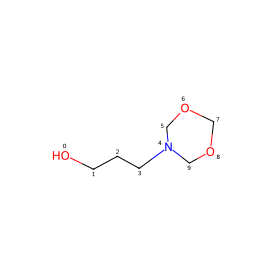 OCCCN1COCOC1